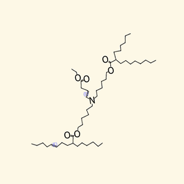 CCCC/C=C/CCC(CCCCCC)C(=O)OCCCCCCN(/C=C/CC(=O)OCC)CCCCCCOC(=O)C(CCCCCC)CCCCCCCC